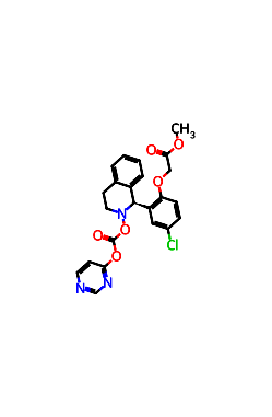 COC(=O)COc1ccc(Cl)cc1[C@@H]1c2ccccc2CCN1OC(=O)Oc1ccncn1